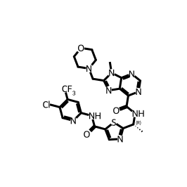 C[C@@H](NC(=O)c1ncnc2c1nc(CN1CCOCC1)n2C)c1ncc(C(=O)Nc2cc(C(F)(F)F)c(Cl)cn2)s1